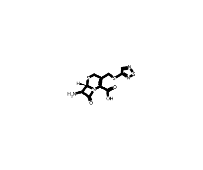 NC1C(=O)N2C(C(=O)O)=C(CSc3cnsn3)CS[C@@H]12